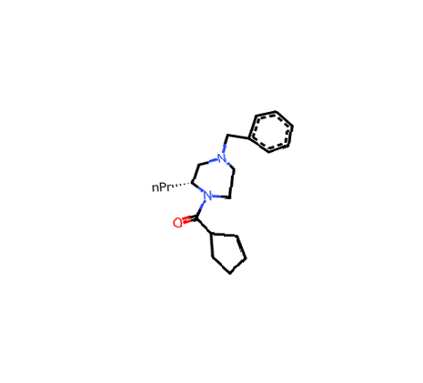 CCC[C@@H]1CN(Cc2ccccc2)CCN1C(=O)C1CCCC1